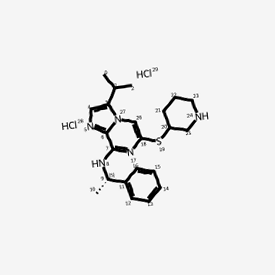 CC(C)c1cnc2c(N[C@@H](C)c3ccccc3)nc(SC3CCCNC3)cn12.Cl.Cl